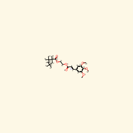 COc1cc(/C=C/C(=O)OCCOC(=O)C(C)(CC(C)(C)C)C(C)(C)C)cc(OC)c1OC